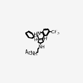 CC(=O)NCCN[C@@H]1C[C@@H]2[C@H](C1)c1cc(C(F)(F)F)ccc1N[C@H]2C1C=CC=CC1